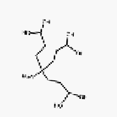 CNC(CCC(O)O)(CCC(O)O)CCC(O)O